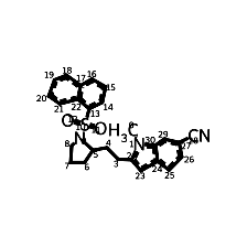 Cn1c(CCC2CCCN2S(=O)(=O)c2cccc3ccccc23)cc2ccc(C#N)cc21